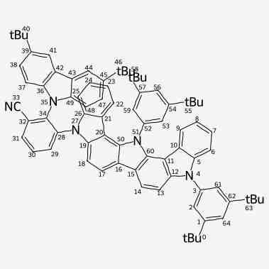 CC(C)(C)c1cc(-n2c3ccccc3c3c2ccc2c4ccc5c(c6ccccc6n5-c5cccc(C#N)c5-n5c6ccc(C(C)(C)C)cc6c6cc(C(C)(C)C)ccc65)c4n(-c4cc(C(C)(C)C)cc(C(C)(C)C)c4)c23)cc(C(C)(C)C)c1